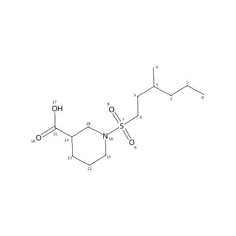 CCCC(C)CCS(=O)(=O)N1CCCC(C(=O)O)C1